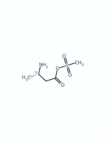 C[C@H](N)CC(=O)OS(C)(=O)=O